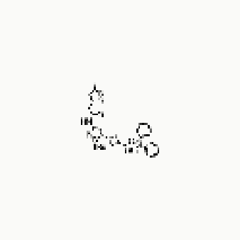 Cc1cc(CC(=O)Nc2cc(C3CC(CO[Si](c4ccccc4)(c4ccccc4)C(C)(C)C)C3)n(C(C)(C)C)n2)on1